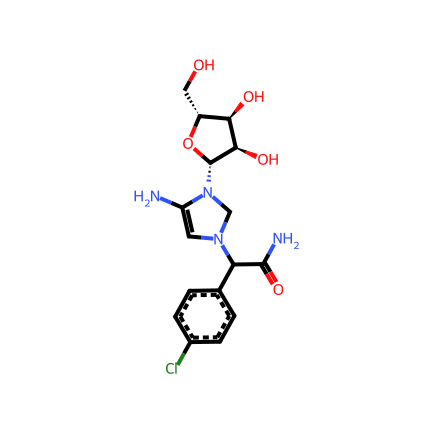 NC(=O)C(c1ccc(Cl)cc1)N1C=C(N)N([C@@H]2O[C@H](CO)[C@@H](O)[C@H]2O)C1